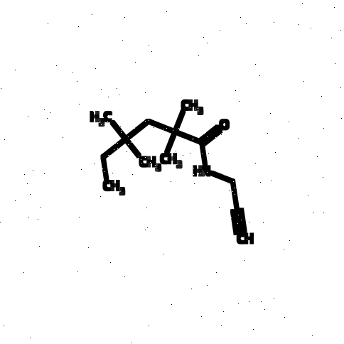 C#CCNC(=O)C(C)(C)CC(C)(C)CC